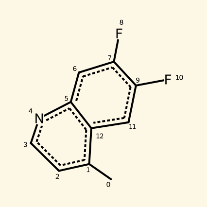 Cc1ccnc2cc(F)c(F)cc12